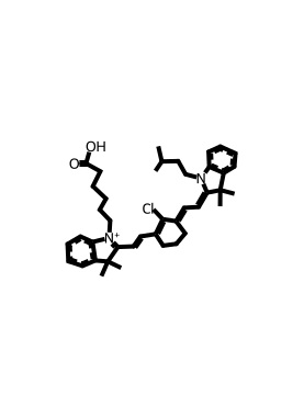 CC(C)CCN1/C(=C\C=C2/CCCC(/C=C/C3=[N+](CCCCCC(=O)O)c4ccccc4C3(C)C)=C2Cl)C(C)(C)c2ccccc21